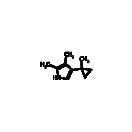 Cc1[nH]cc(C2(C)CC2)c1C